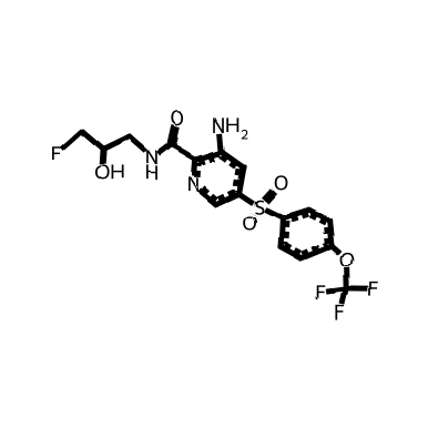 Nc1cc(S(=O)(=O)c2ccc(OC(F)(F)F)cc2)cnc1C(=O)NCC(O)CF